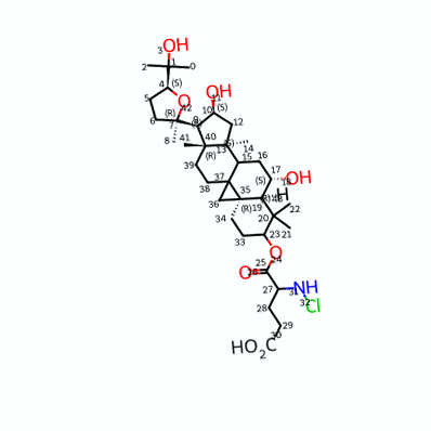 CC(C)(O)[C@@H]1CC[C@](C)([C@H]2[C@@H](O)C[C@@]3(C)C4C[C@H](O)[C@H]5C(C)(C)C(OC(=O)C(CCC(=O)O)NCl)CC[C@@]56CC46CC[C@]23C)O1